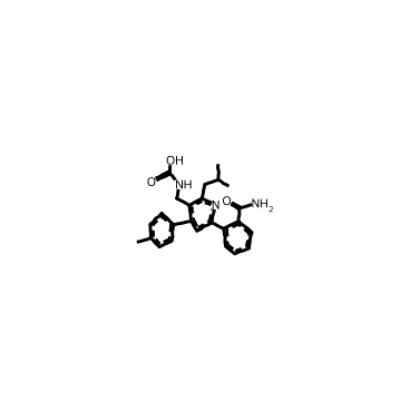 Cc1ccc(-c2cc(-c3ccccc3C(N)=O)nc(CC(C)C)c2CNC(=O)O)cc1